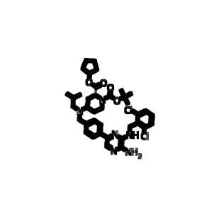 CC(C)CN(Cc1ccc(-c2cnc(N)c(NCc3c(Cl)cccc3Cl)n2)cc1)C1CCN(C(=O)OC(C)(C)C)[C@@H](C(=O)OC2CCCC2)C1